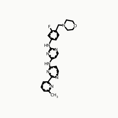 Cc1cccc(-c2nccc(Nc3ccnc(Nc4ccc(CN5CCOCC5)c(F)c4)n3)n2)n1